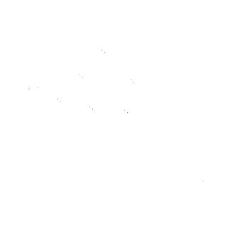 CCCCCNc1nc(N)c2ncn(Cc3ccc(CO)cc3)c2n1